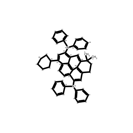 CC1(C)CCc2cc(N(c3ccccc3)c3ccccc3)c3ccc4c(C5CCCCC5)cc(N(c5ccccc5)c5ccccc5)c5cc1c2c3c45